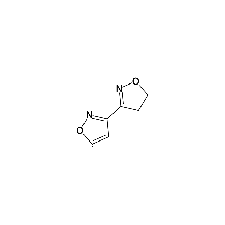 [c]1cc(C2=NOCC2)no1